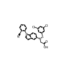 N#Cc1ccccc1-n1ccc2cc(N(CC(=O)O)Sc3cc(Cl)cc(Cl)c3)ccc21